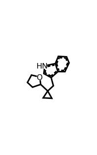 c1ccc2c(CC3(C4CCCO4)CC3)c[nH]c2c1